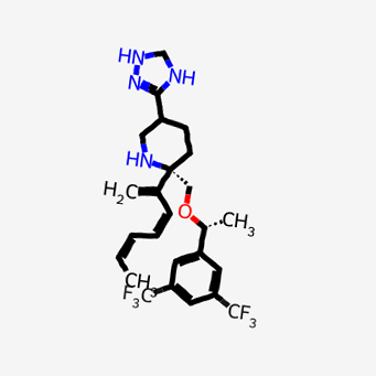 C=C(/C=C\C=C/C)[C@]1(CO[C@H](C)c2cc(C(F)(F)F)cc(C(F)(F)F)c2)CCC(C2=NNCN2)CN1